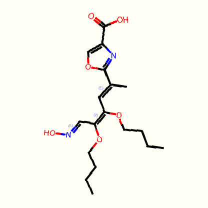 CCCCOC(/C=N/O)=C(/C=C(\C)c1nc(C(=O)O)co1)OCCCC